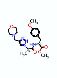 COC(=O)[C@H](Cc1ccc(OC)cc1)NC(=O)[C@H](C)n1cc(CN2CCOCC2)nn1